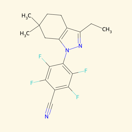 CCc1nn(-c2c(F)c(F)c(C#N)c(F)c2F)c2c1CCC(C)(C)C2